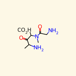 CC(N)C(=O)C(C(=O)O)N(C)C(=O)CN